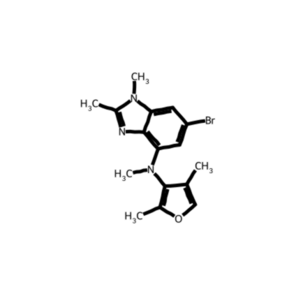 Cc1coc(C)c1N(C)c1cc(Br)cc2c1nc(C)n2C